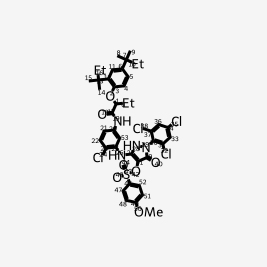 CCC(Oc1ccc(C(C)(C)CC)cc1C(C)(C)CC)C(=O)Nc1ccc(Cl)c(Nc2[nH]n(-c3c(Cl)cc(Cl)cc3Cl)c(=O)c2OS(=O)(=O)c2ccc(OC)cc2)c1